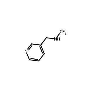 FC(F)(F)NCc1cccnc1